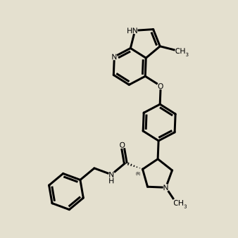 Cc1c[nH]c2nccc(Oc3ccc(C4CN(C)C[C@@H]4C(=O)NCc4ccccc4)cc3)c12